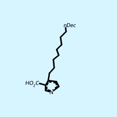 CCCCCCCCCCCCCCCCCCc1ccncc1C(=O)O